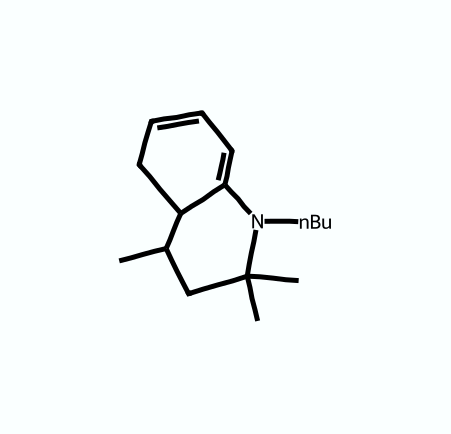 CCCCN1C2=CC=CCC2C(C)CC1(C)C